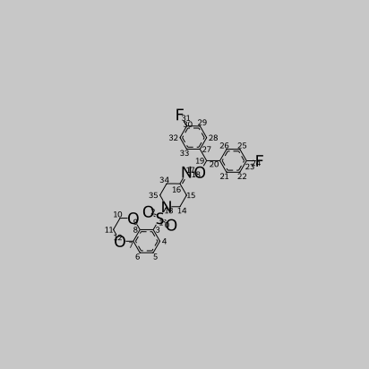 O=S(=O)(c1cccc2c1OCCO2)N1CCC(=NOC(c2ccc(F)cc2)c2ccc(F)cc2)CC1